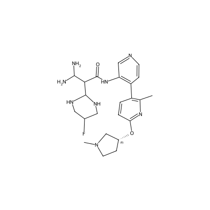 Cc1nc(O[C@@H]2CCN(C)C2)ccc1-c1ccncc1NC(=O)C(C(N)N)C1NCC(F)CN1